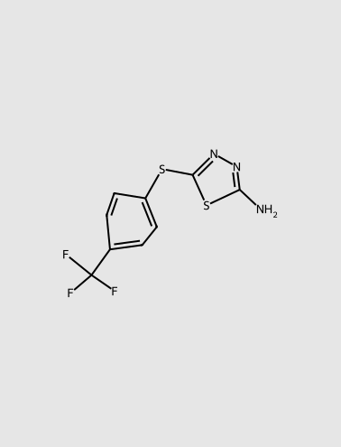 Nc1nnc(Sc2ccc(C(F)(F)F)cc2)s1